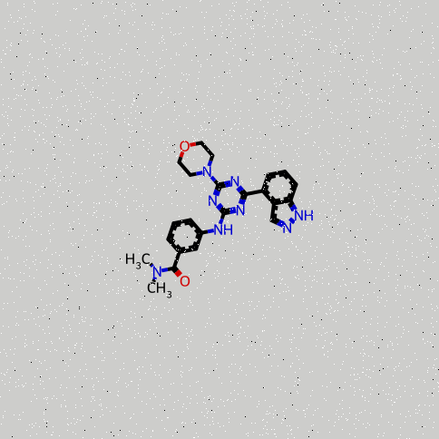 CN(C)C(=O)c1cccc(Nc2nc(-c3cccc4[nH]ncc34)nc(N3CCOCC3)n2)c1